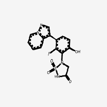 O=C1CN(c2c(O)ccc(-c3cnn4ccccc34)c2F)S(=O)(=O)N1